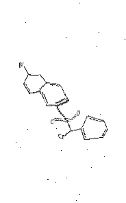 O=S(=O)(c1ccc2cc(Br)ccc2c1)C(Cl)c1ccccc1